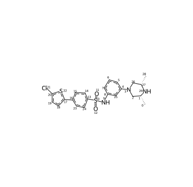 C[C@@H]1CN(c2cccc(NS(=O)(=O)c3ccc(-c4ccc(Cl)s4)cc3)c2)C[C@H](C)N1